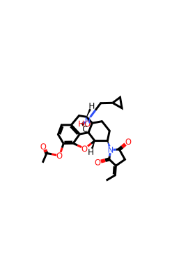 C/C=C1/CC(=O)N([C@@H]2CC[C@@]3(O)[C@H]4Cc5ccc(OC(C)=O)c6c5[C@@]3(CCN4CC3CC3)[C@H]2O6)C1=O